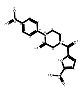 O=C(c1ccc([N+](=O)[O-])o1)N1CCN(c2ccc([N+](=O)[O-])cc2)C(=O)C1